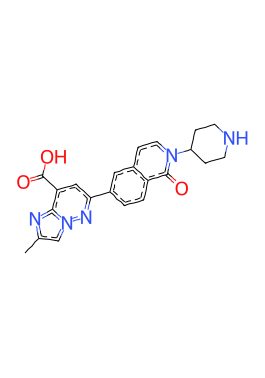 Cc1cn2nc(-c3ccc4c(=O)n(C5CCNCC5)ccc4c3)cc(C(=O)O)c2n1